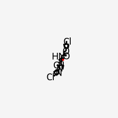 O=C(COc1ccc(Cl)cc1)NC12CC(N3CCN(c4ccc(Cl)cn4)C3=O)(C1)C2